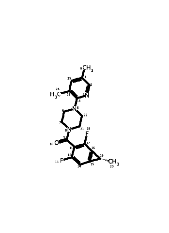 Cc1cnc(N2CCN(C(=O)c3c(F)cc4c(c3F)[C@@H]4C)CC2)c(C)c1